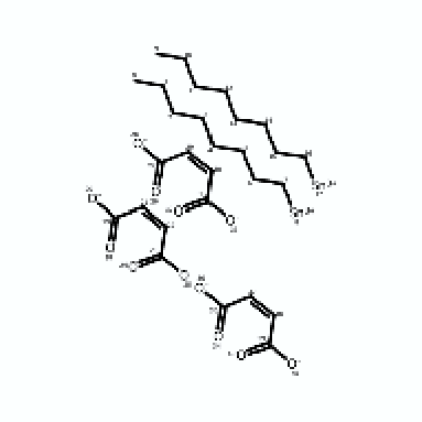 CCCCCCC[CH2][Sn+3].CCCCCCC[CH2][Sn+3].O=C([O-])/C=C\C(=O)[O-].O=C([O-])/C=C\C(=O)[O-].O=C([O-])/C=C\C(=O)[O-]